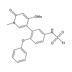 CCS(=O)(=O)Nc1ccc(Oc2c[c]ccc2)c(-c2cn(C)c(=O)cc2OC)c1